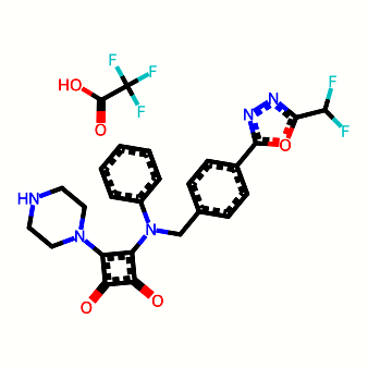 O=C(O)C(F)(F)F.O=c1c(N2CCNCC2)c(N(Cc2ccc(-c3nnc(C(F)F)o3)cc2)c2ccccc2)c1=O